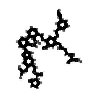 CC(=O)NCCNCc1cc(Cl)c(OCc2cccc(-c3cccc(-c4nc5cc(COC(=O)[C@@H]6CCCN6)c(OC(F)F)cc5o4)c3C)c2C)cc1OCc1cccc(C#N)c1